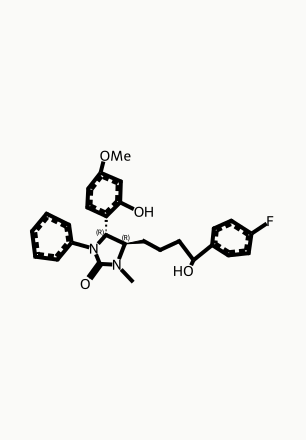 COc1ccc([C@@H]2[C@@H](CCCC(O)c3ccc(F)cc3)N(C)C(=O)N2c2ccccc2)c(O)c1